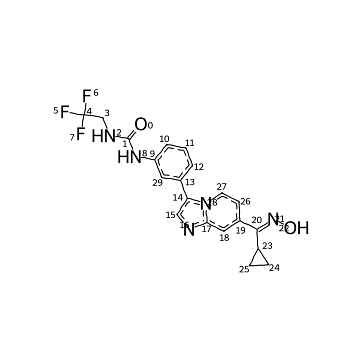 O=C(NCC(F)(F)F)Nc1cccc(-c2cnc3cc(C(=NO)C4CC4)ccn23)c1